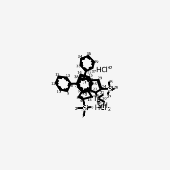 C[Si](C)(C)C1=Cc2c(-c3ccccc3)cccc2[CH]1[Ti]([CH3])([CH3])(=[SiH2])[CH]1C([Si](C)(C)C)=Cc2c(-c3ccccc3)cccc21.Cl.Cl